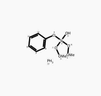 COO[Si](O)(OOC)Oc1ccccc1.P